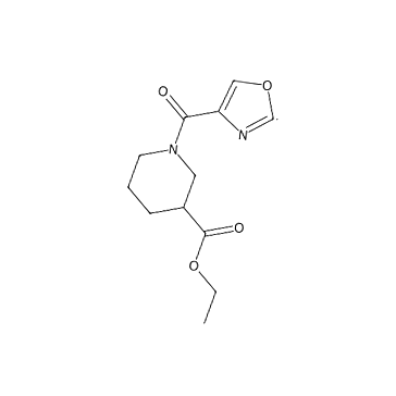 CCOC(=O)C1CCCN(C(=O)c2co[c]n2)C1